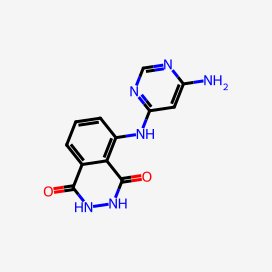 Nc1cc(Nc2cccc3c(=O)[nH][nH]c(=O)c23)ncn1